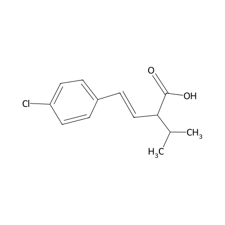 CC(C)C(C=Cc1ccc(Cl)cc1)C(=O)O